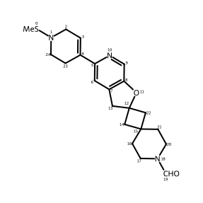 CSN1CC=C(c2cc3c(cn2)OC2(C3)CC3(CCN(C=O)CC3)C2)CC1